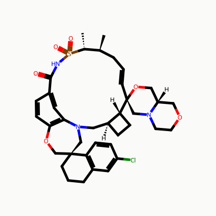 C[C@@H]1[C@@H](C)C/C=C/[C@@]2(CN3CCOC[C@H]3CO2)[C@@H]2CC[C@H]2CN2C[C@@]3(CCCc4cc(Cl)ccc43)COc3ccc(cc32)C(=O)NS1(=O)=O